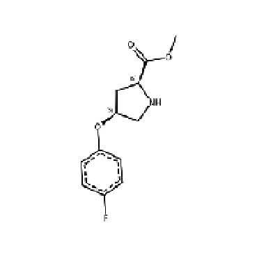 COC(=O)[C@@H]1C[C@H](Oc2ccc(F)cc2)CN1